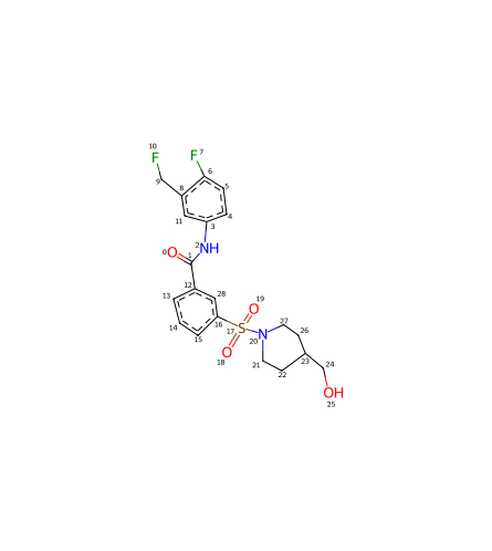 O=C(Nc1ccc(F)c(CF)c1)c1cccc(S(=O)(=O)N2CCC(CO)CC2)c1